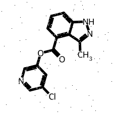 Cc1n[nH]c2cccc(C(=O)Oc3cncc(Cl)c3)c12